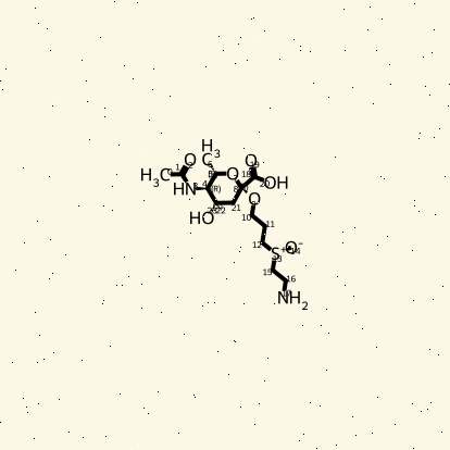 CC(=O)N[C@H]1[C@H](C)O[C@@](OCCC[S+]([O-])CCN)(C(=O)O)C[C@@H]1O